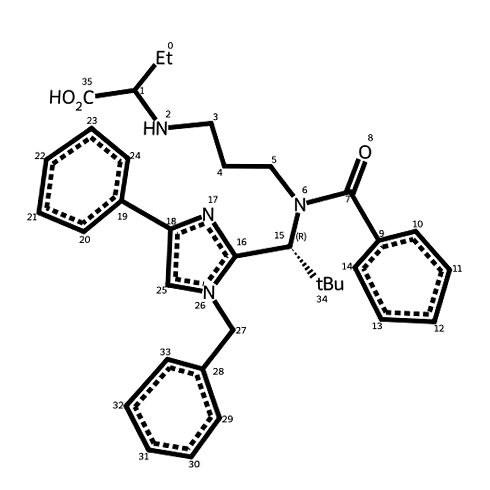 CCC(NCCCN(C(=O)c1ccccc1)[C@@H](c1nc(-c2ccccc2)cn1Cc1ccccc1)C(C)(C)C)C(=O)O